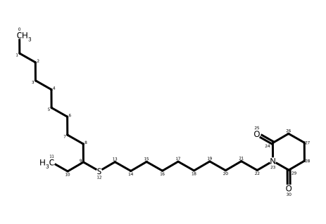 CCCCCCCCCC(CC)SCCCCCCCCCCN1C(=O)CCCC1=O